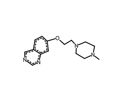 CN1CCN(CCOc2ccc3cncnc3c2)CC1